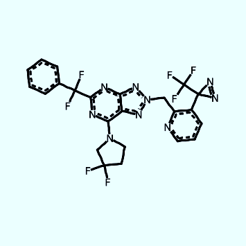 FC1(F)CCN(c2nc(C(F)(F)c3ccccc3)nc3nn(Cc4ncccc4C4(C(F)(F)F)N=N4)nc23)C1